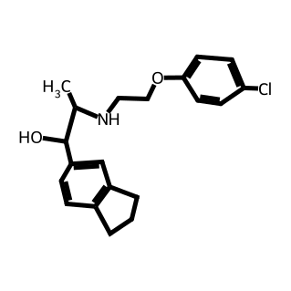 CC(NCCOc1ccc(Cl)cc1)C(O)c1ccc2c(c1)CCC2